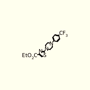 CCOC(=O)c1csc(N2CCN(c3ccc(C(F)(F)F)cc3)CC2)n1